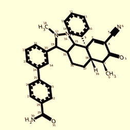 C[C@@H]1C(=O)C(C#N)=C[C@]2(c3ccccc3)C3NN(C)C(c4cccc(-c5ccc(C(N)=O)cc5)c4)C3CC[C@@H]12